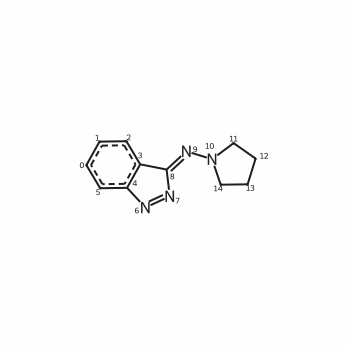 c1ccc2c(c1)N=NC2=NN1CCCC1